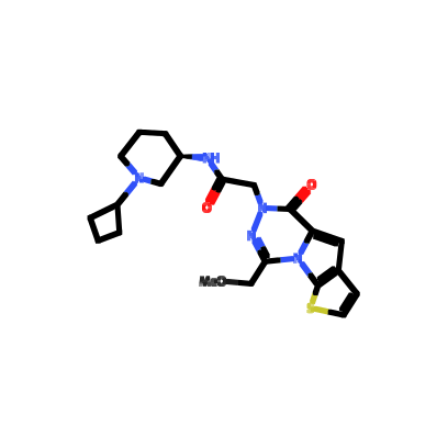 COCc1nn(CC(=O)N[C@@H]2CCCN(C3CCC3)C2)c(=O)c2cc3ccsc3n12